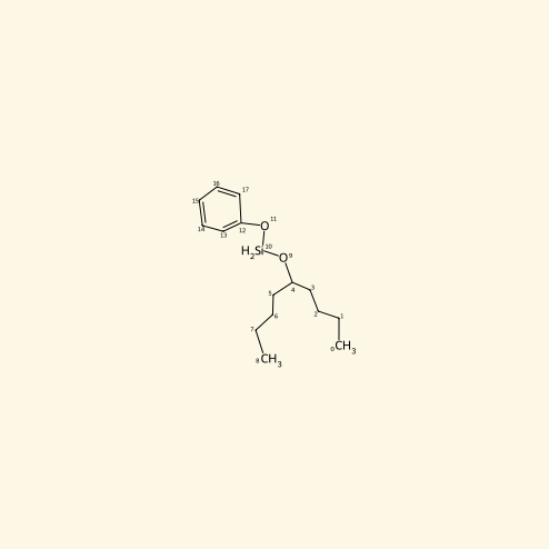 CCCCC(CCCC)O[SiH2]Oc1ccccc1